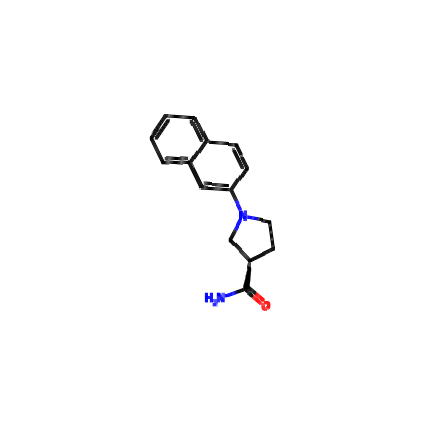 NC(=O)[C@@H]1CCN(c2ccc3ccccc3c2)C1